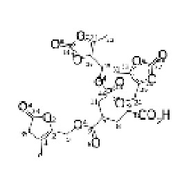 CC1=C(COC(=O)C(CCC(=O)O)CP(=O)(OCc2oc(=O)oc2C)OCc2oc(=O)oc2C)OC(=O)C1